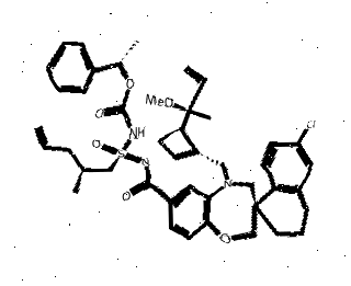 C=CC[C@H](C)C[S@](=O)(=NC(=O)c1ccc2c(c1)N(C[C@@H]1CC[C@H]1[C@@](C)(C=C)OC)C[C@@]1(CCCc3cc(Cl)ccc31)CO2)NC(=O)O[C@@H](C)c1ccccc1